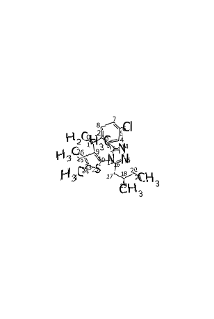 C=C(c1ccc(Cl)cc1)c1c(-n2c(C)nnc2C[C@H](C)CC)sc(C)c1C